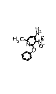 Cc1cc(N)c([N+](=O)[O-])c(Oc2ccccc2)n1